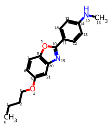 CCCCOc1ccc2oc(-c3ccc(NC)cc3)nc2c1